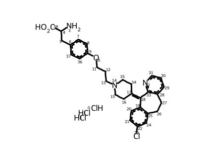 Cl.Cl.Cl.NC(Cc1ccc(OCCCN2CCC(=C3c4ccc(Cl)cc4CCc4cccnc43)CC2)cc1)C(=O)O